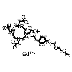 CCOCCOCCOc1ccc(CCC[C@@H](C(=O)O)N2CCN(CC(=O)[O-])CCN(CC(=O)[O-])CCN(CC(=O)[O-])CC2)cc1.[Gd+3]